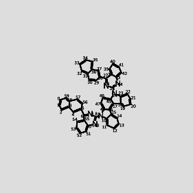 c1ccc2cc(-c3nc(-n4c5ccccc5c5c6c7ccccc7n(-c7nc(-c8ccc9ccccc9c8)c8ccccc8n7)c6ccc54)nc4ccccc34)ccc2c1